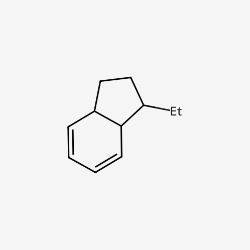 CCC1CCC2C=CC=CC21